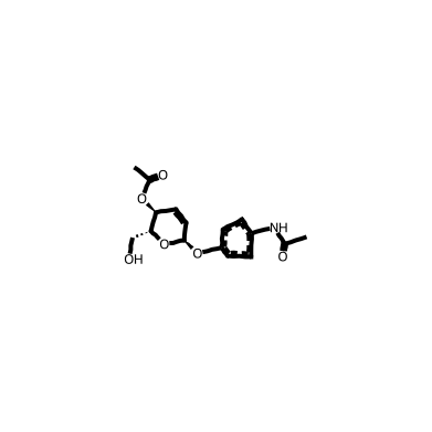 CC(=O)Nc1ccc(O[C@@H]2C=C[C@H](OC(C)=O)[C@@H](CO)O2)cc1